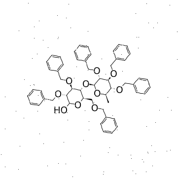 C[C@H]1O[C@@H](O[C@H]2[C@H](OCc3ccccc3)[C@@H](OCc3ccccc3)C(O)O[C@@H]2COCc2ccccc2)[C@H](OCc2ccccc2)[C@@H](OCc2ccccc2)[C@@H]1OCc1ccccc1